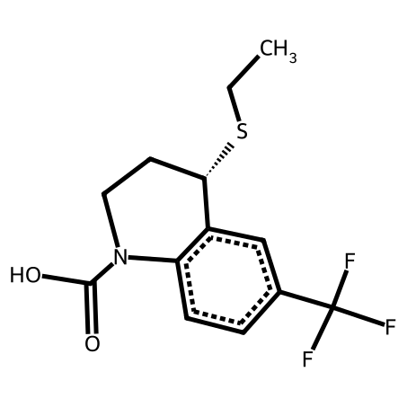 CCS[C@H]1CCN(C(=O)O)c2ccc(C(F)(F)F)cc21